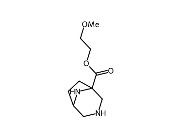 COCCOC(=O)C12CCC(CNC1)N2